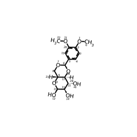 COc1ccc(C2OC[C@H]3OC(O)[C@H](O)[C@@H](O)[C@@H]3O2)cc1OC